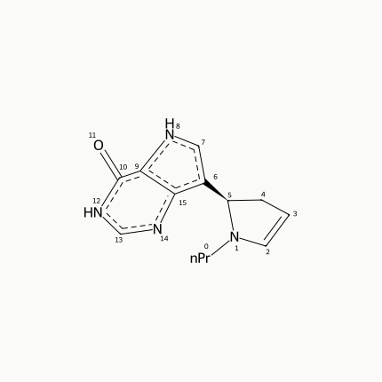 CCCN1C=CC[C@@H]1c1c[nH]c2c(=O)[nH]cnc12